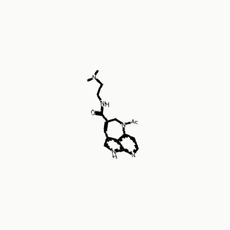 CC(=O)N1CC(C(=O)NCCN(C)C)=Cc2c[nH]c3nccc1c23